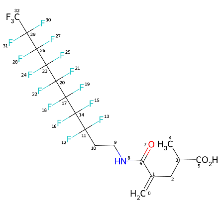 C=C(CC(C)C(=O)O)C(=O)NCCC(F)(F)C(F)(F)C(F)(F)C(F)(F)C(F)(F)C(F)(F)C(F)(F)C(F)(F)F